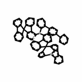 c1ccc(-c2ccc(-c3ccccc3N(c3cccc4c3-c3ccccc3C43c4ccccc4-c4ccccc43)c3cccc4c3-c3ccccc3C43c4ccccc4-n4c5ccccc5c5cccc3c54)cc2)cc1